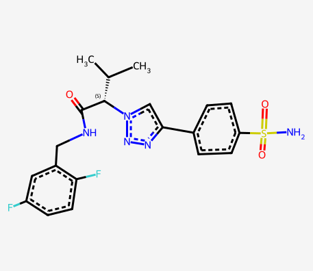 CC(C)[C@@H](C(=O)NCc1cc(F)ccc1F)n1cc(-c2ccc(S(N)(=O)=O)cc2)nn1